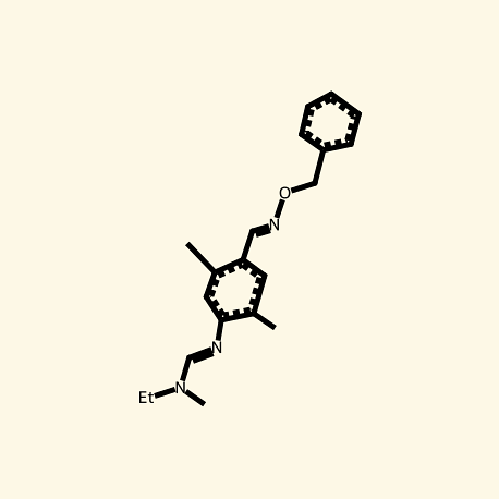 CCN(C)C=Nc1cc(C)c(C=NOCc2ccccc2)cc1C